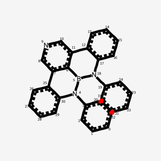 c1ccc(N2B3c4c(cncc4-c4ccccc4N3c3ccccc3)-c3ccccc32)cc1